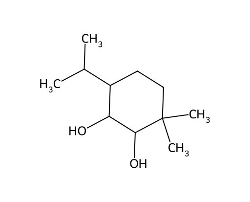 CC(C)C1CCC(C)(C)C(O)C1O